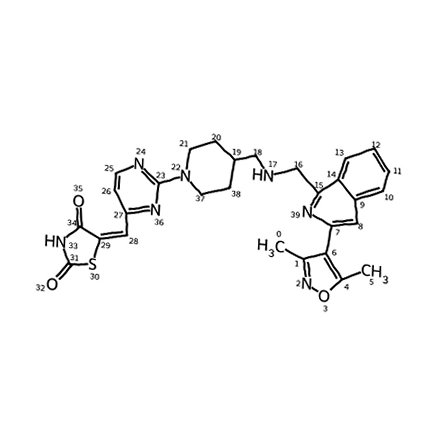 Cc1noc(C)c1-c1cc2ccccc2c(CNCC2CCN(c3nccc(C=C4SC(=O)NC4=O)n3)CC2)n1